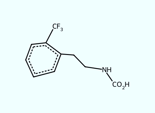 O=C(O)NCCc1ccccc1C(F)(F)F